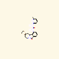 Cc1cccc(NC(=O)Nc2cccc3c2C2CC4(CCN2C3=O)SCCS4)n1